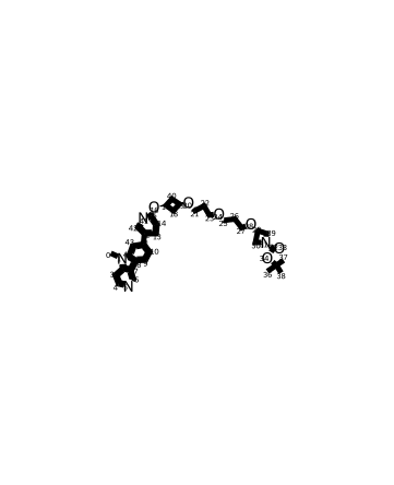 Cn1c2ccncc2c2ccc(-c3ccc(O[C@H]4C[C@H](OCCCOCCCOC5CN(C(=O)OC(C)(C)C)C5)C4)nc3)cc21